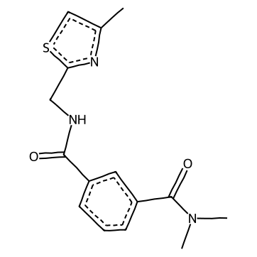 Cc1csc(CNC(=O)c2cccc(C(=O)N(C)C)c2)n1